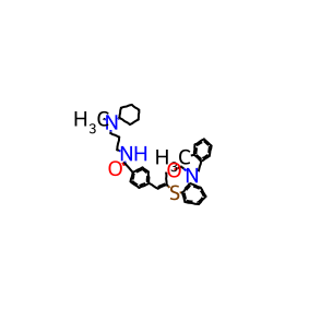 Cc1ccccc1CN1COC/C(=C\c2ccc(C(=O)NCCCN(C)C3CCCCC3)cc2)Sc2ccccc21